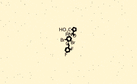 O=C(O)C1=C(C(=O)Nc2cc(Br)c(OCc3ccc(F)cc3F)c(Br)c2)CCC1